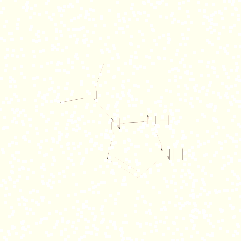 CN(C)N1C=CNN1